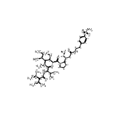 CCC(C)C(C(CC(=O)N1CCCC1C(CC(=O)NCCc1ccc(S(N)(=O)=O)cc1)SC)OC)N(C)C(=O)C(NC(=O)C(C(C)C)N(C)C)C(C)C